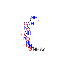 CC(=O)NCc1nc(C(=O)NCc2nc(C(=O)NCc3nc(C(=O)NCCCN)co3)co2)co1